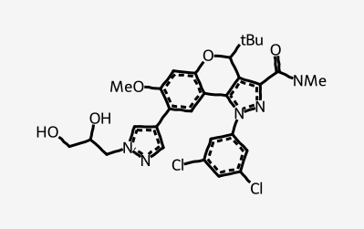 CNC(=O)c1nn(-c2cc(Cl)cc(Cl)c2)c2c1C(C(C)(C)C)Oc1cc(OC)c(-c3cnn(CC(O)CO)c3)cc1-2